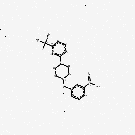 O=[N+]([O-])c1cccc(CN2CCN(c3cccc(C(F)(F)F)n3)CC2)c1